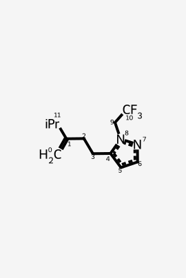 C=C(CCc1ccnn1CC(F)(F)F)C(C)C